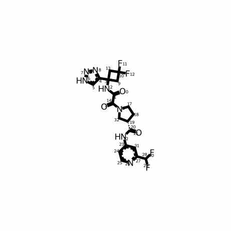 O=C(NC1(c2c[nH]nn2)CC(F)(F)C1)C(=O)N1CC[C@H](C(=O)Nc2ccnc(C(F)F)c2)C1